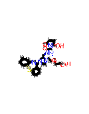 O=C(CN1C(=O)C=CC1O)NCC1CN(C2=Nc3ccccc3Sc3ccccc32)CCN1CCOCCO